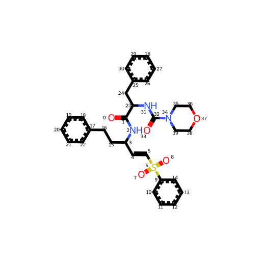 O=C(NC(C=CS(=O)(=O)c1ccccc1)CCc1ccccc1)C(Cc1ccccc1)NC(=O)N1CCOCC1